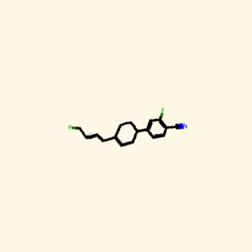 N#Cc1ccc(C2CCC(C/C=C/CF)CC2)cc1F